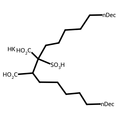 CCCCCCCCCCCCCCCC(C(=O)O)C(CCCCCCCCCCCCCCC)(C(=O)O)S(=O)(=O)O.[KH]